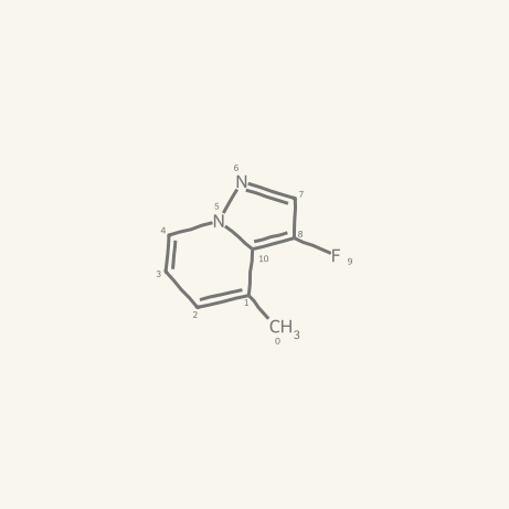 Cc1cccn2ncc(F)c12